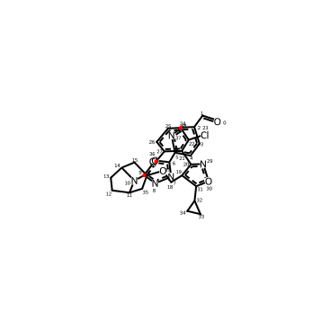 O=Cc1ccc(-c2nnc(N3C4CCC3CC(OCc3c(-c5c(Cl)cccc5Cl)noc3C3CC3)C4)o2)nc1